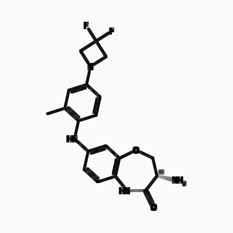 Cc1cc(N2CC(F)(F)C2)ccc1Nc1ccc2c(c1)OC[C@H](N)C(=O)N2